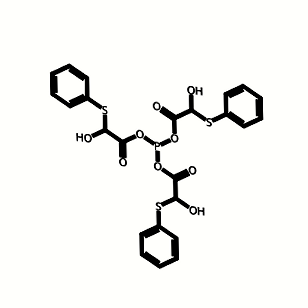 O=C(OP(OC(=O)C(O)Sc1ccccc1)OC(=O)C(O)Sc1ccccc1)C(O)Sc1ccccc1